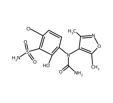 Cc1noc(C)c1N(C(N)=O)c1ccc(Cl)c(S(N)(=O)=O)c1O